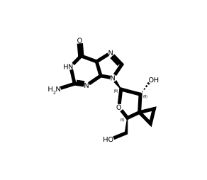 NC1=NC2C(N=CN2[C@@H]2O[C@H](CO)C3(CC3)[C@H]2O)C(=O)N1